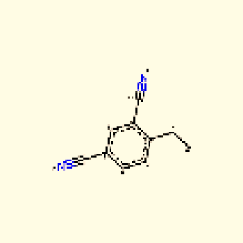 CCc1ccc(C#N)cc1C#N